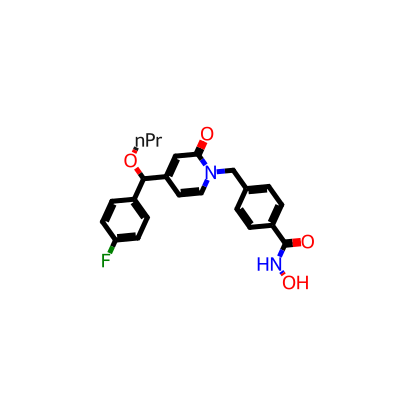 CCCOC(c1ccc(F)cc1)c1ccn(Cc2ccc(C(=O)NO)cc2)c(=O)c1